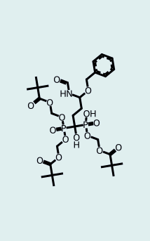 CC(C)(C)C(=O)OCOP(=O)(O)C(O)(CCC(NC=O)OCc1ccccc1)P(=O)(OCOC(=O)C(C)(C)C)OCOC(=O)C(C)(C)C